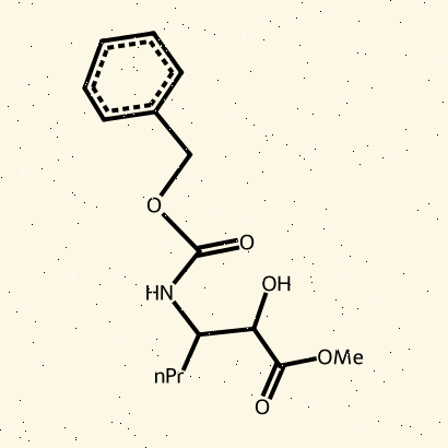 CCCC(NC(=O)OCc1ccccc1)C(O)C(=O)OC